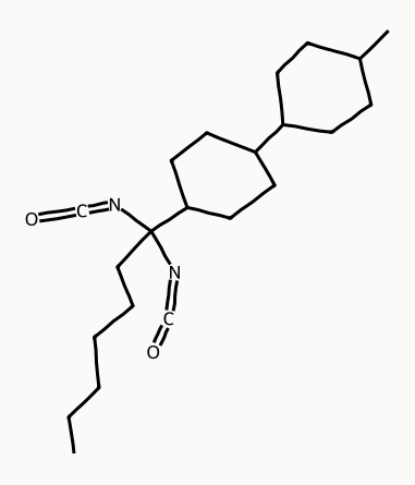 CCCCCCC(N=C=O)(N=C=O)C1CCC(C2CCC(C)CC2)CC1